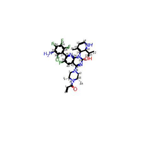 C=CC(=O)N1[C@H](C)CN(C2=NC(O)N(C3=C(C)C=CNC3C(C)C)c3nc(-c4c(F)c(F)c(F)c(N)c4Cl)c(F)cc32)C[C@@H]1C